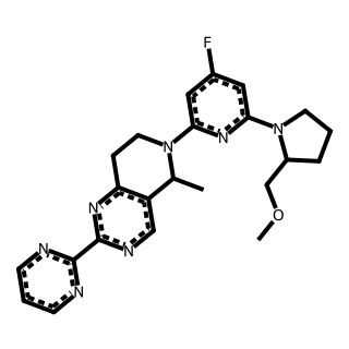 COCC1CCCN1c1cc(F)cc(N2CCc3nc(-c4ncccn4)ncc3C2C)n1